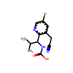 CC(C)C(NC(=O)O)c1ncc(Cl)cc1CC#N